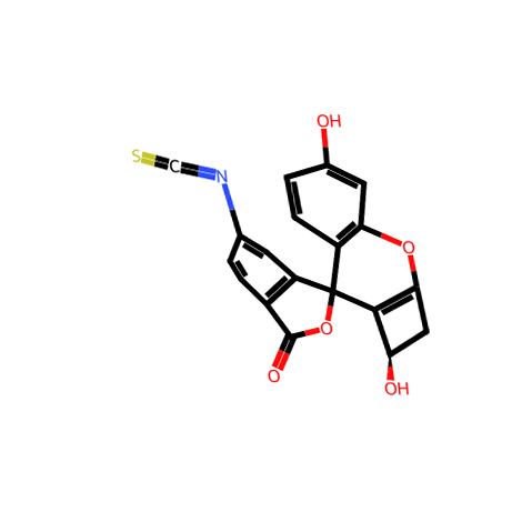 O=C1OC2(C3=C(C[C@H]3O)Oc3cc(O)ccc32)c2cc(N=C=S)ccc21